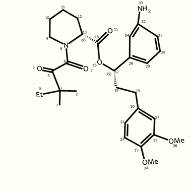 CCC(C)(C)C(=O)C(=O)N1CCCC[C@@H]1C(=O)O[C@@H](CCc1ccc(OC)c(OC)c1)c1cccc(N)c1